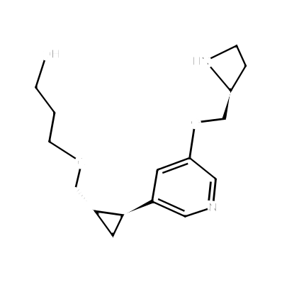 OCCCOC[C@H]1C[C@@H]1c1cncc(OC[C@@H]2CCN2)c1